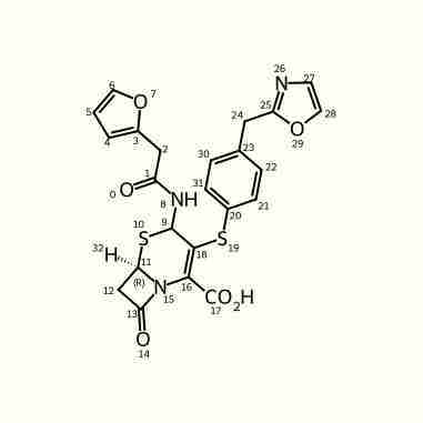 O=C(Cc1ccco1)NC1S[C@@H]2CC(=O)N2C(C(=O)O)=C1Sc1ccc(Cc2ncco2)cc1